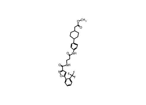 COC(=O)CC1CCC(c2ccc(NC(=O)CCNC(=O)c3cc(-c4ccccc4C(F)(F)F)on3)cc2)CC1